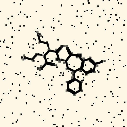 NC(=O)[C@H](CCC(F)(F)F)[C@H](CCC(F)(F)F)C(=O)N[C@H]1CN(c2ccccc2)c2ccc(F)cc2NC1=O